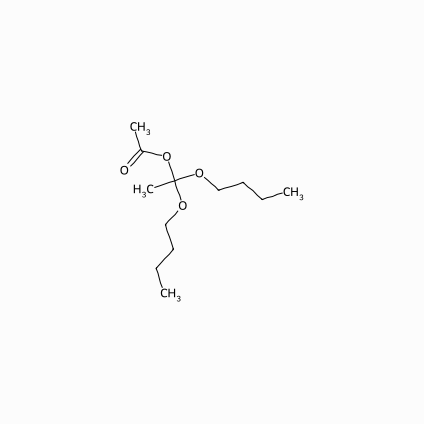 CCCCOC(C)(OCCCC)OC(C)=O